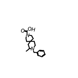 CC1CC2(CCN(C(=O)O)CC2)CCN1Cc1ccccc1